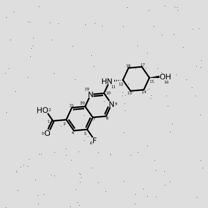 O=C(O)c1cc(F)c2cnc(N[C@H]3CC[C@H](O)CC3)nc2c1